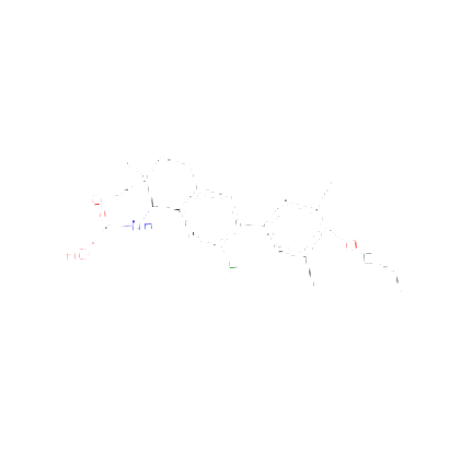 CCCOc1c(C)cc(-c2cc3c(cc2F)C(NC(=O)O)C(C)(C)CC3)cc1C